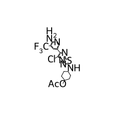 CC(=O)OC1CCC(Nc2nn3c(Cl)c(-c4cnc(N)c(C(F)(F)F)c4)nc3s2)CC1